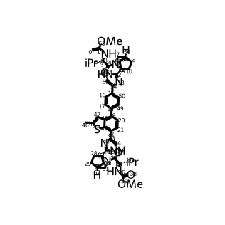 C=C(N[C@H](C(=O)N1C[C@@H]2CC[C@@]1(c1nc(-c3ccc(-c4ccc(-c5c[nH]c([C@@]67CC[C@@H](CN6C(=O)[C@@H](NC(=O)OC)C(C)C)C7)n5)c5sc(C)cc45)cc3)c[nH]1)C2)C(C)C)OC